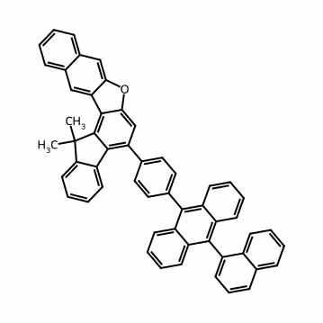 CC1(C)c2ccccc2-c2c(-c3ccc(-c4c5ccccc5c(-c5cccc6ccccc56)c5ccccc45)cc3)cc3oc4cc5ccccc5cc4c3c21